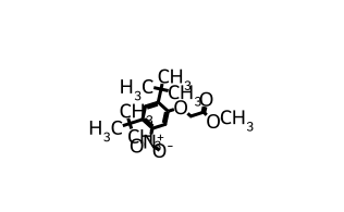 COC(=O)COc1cc([N+](=O)[O-])c(C(C)(C)C)cc1C(C)(C)C